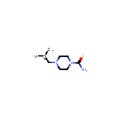 C[SiH](C)CN1CCN(C(N)=O)CC1